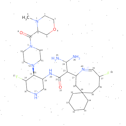 CN1CCOCC1C(=O)N1CCN([C@@H]2C(F)CNCC2NC(=O)C(C(N)N)C2CC3(CCCCC3)CCC(F)/C=N\2)CC1